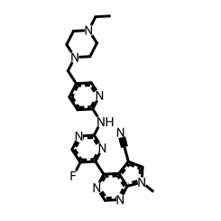 CCN1CCN(Cc2ccc(Nc3ncc(F)c(-c4ncnc5c4c(C#N)cn5C)n3)nc2)CC1